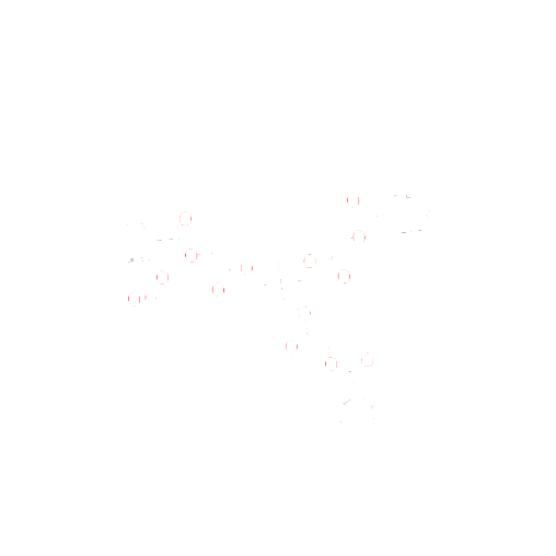 CCC(COC(=O)COC(=O)c1ccccc1C)(COC(=O)COC(=O)c1ccccc1C)COC(=O)COC(=O)c1ccccc1OC(C)=O